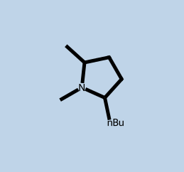 CCCCC1CCC(C)N1C